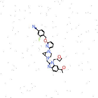 CC(=O)c1ccc2nc(CN3CCN(c4cccc(OCc5ccc(C#N)cc5F)n4)C4CC43)n(C[C@@H]3CCO3)c2c1